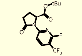 CC(C)(C)OC(=O)[C@@H]1CCC(=O)N1c1ccc(C(F)(F)F)c(F)n1